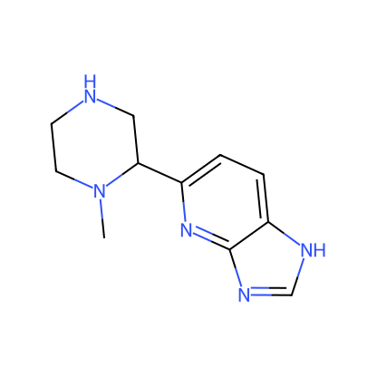 CN1CCNCC1c1ccc2[nH]cnc2n1